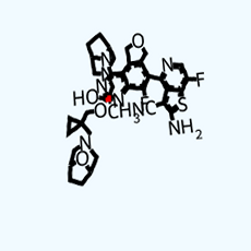 C[C@@H](O)CN1CC2CCC(C1)N2c1nc(OCC2(CN3CC4CCC(C3)O4)CC2)nc2c(F)c(-c3ncc(F)c4sc(N)c(C#N)c34)c3c(c12)COC3